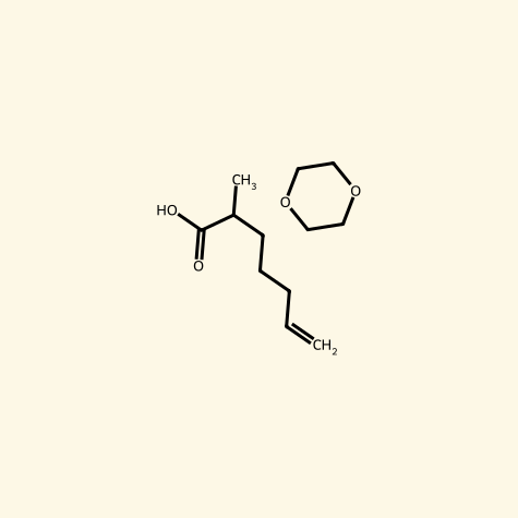 C1COCCO1.C=CCCCC(C)C(=O)O